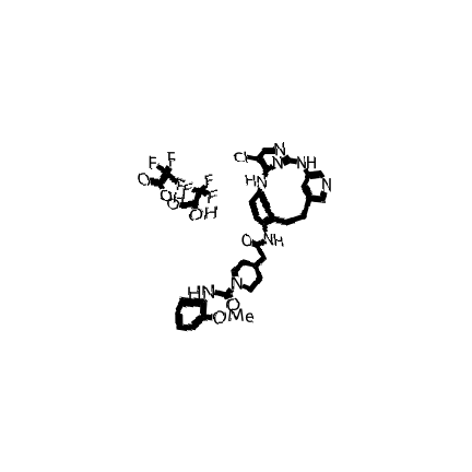 COc1ccccc1NC(=O)N1CCC(CC(=O)Nc2ccc3cc2CCc2cncc(c2)Nc2ncc(Cl)c(n2)N3)CC1.O=C(O)C(F)(F)F.O=C(O)C(F)(F)F